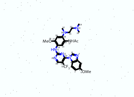 COc1ccc2c(c1)ncn2-c1nc(Nc2cc(NC(C)=O)c(N(C)CCN(C)C)cc2OC)ncc1C(F)(F)F